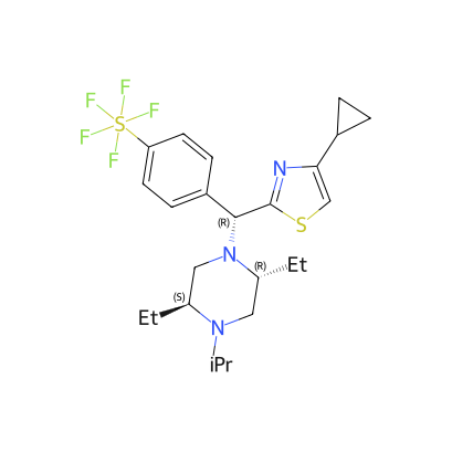 CC[C@H]1CN([C@H](c2ccc(S(F)(F)(F)(F)F)cc2)c2nc(C3CC3)cs2)[C@H](CC)CN1C(C)C